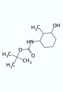 CC1C(O)CCCC1NC(=O)OC(C)(C)C